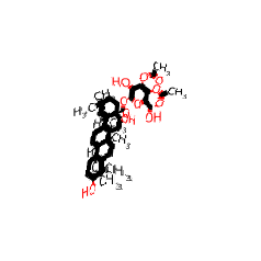 CC(=O)O[C@H]1C(CO)O[C@H](OC(=O)[C@]23CCC(C)(C)C[C@H]2C2=CC[C@@H]4[C@@]5(C)CC[C@H](O)C(C)(C)C5CC[C@@]4(C)[C@]2(C)CC3O)C(O)[C@@H]1OC(C)=O